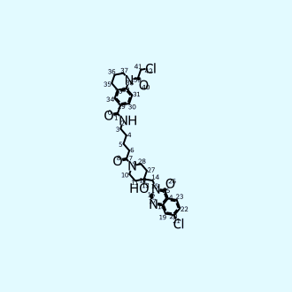 O=C(NCCCCC(=O)N1CCC(O)(Cn2cnc3cc(Cl)ccc3c2=O)CC1)c1ccc2c(c1)CCCN2C(=O)CCl